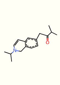 CC(C)C(=O)Cc1ccc2c(c1)C=CN(C(C)C)C2